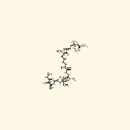 CC(=O)CC(C)(C)CCNC(=O)[C@@H](C)CCCCNC(=O)CCC(C)(C)CC(C)(C)COC1C[C@@H](O)[C@@H](O)[C@@H](CO)O1